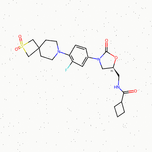 O=C(NC[C@H]1CN(c2ccc(N3CCC4(CC3)CS(=O)(=O)C4)c(F)c2)C(=O)O1)C1CCC1